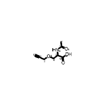 C#CCOCC(NC(C)=O)C(=O)O